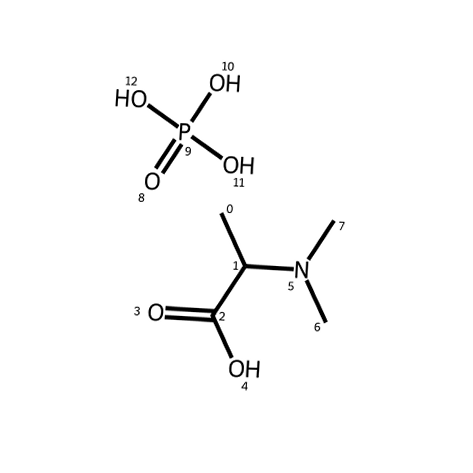 CC(C(=O)O)N(C)C.O=P(O)(O)O